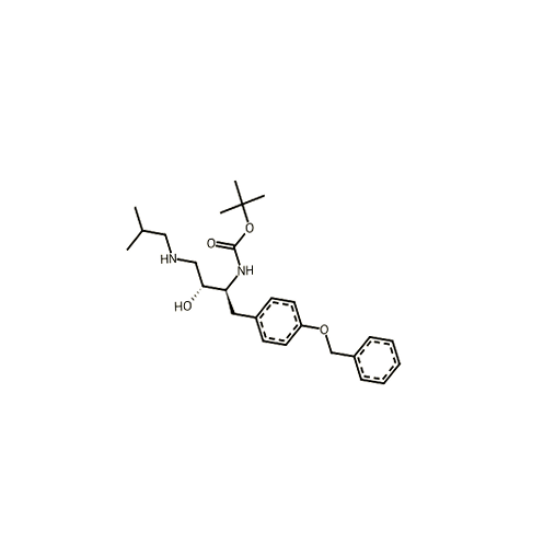 CC(C)CNC[C@@H](O)[C@H](Cc1ccc(OCc2ccccc2)cc1)NC(=O)OC(C)(C)C